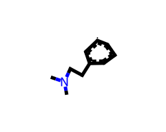 CN(C)CCc1c[c]ccc1